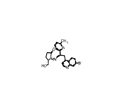 Cc1cccc(C(Cc2ccnc3cc(Br)ccc23)=NN2C(=O)CCC2CO)n1